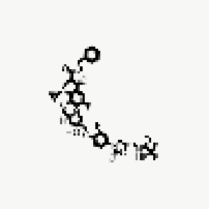 O=C(OCc1ccccc1)c1cn(C2CC2)c2c3c(c(F)cc2c1=O)N1C[C@@](O)(COc2ccc(N4C[C@H](CNC(=O)C(F)(F)F)OC4=O)cc2F)C[C@H]1CO3